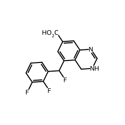 O=C(O)c1cc2c(c(C(F)c3cccc(F)c3F)c1)CNC=N2